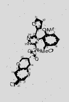 COc1cccc(OC)c1-n1c(NS(=O)(=O)[C@H]2COc3cc(Cl)cnc3C2)nnc1-c1ccco1